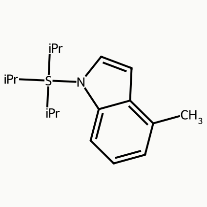 Cc1cccc2c1ccn2S(C(C)C)(C(C)C)C(C)C